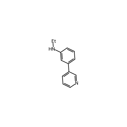 CCNc1cccc(-c2cccnc2)c1